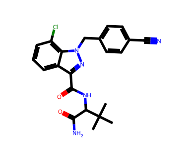 CC(C)(C)C(NC(=O)c1nn(Cc2ccc(C#N)cc2)c2c(Cl)cccc12)C(N)=O